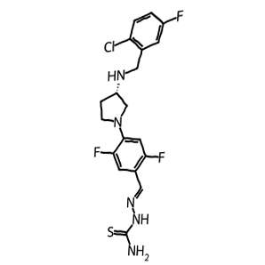 NC(=S)NN=Cc1cc(F)c(N2CC[C@H](NCc3cc(F)ccc3Cl)C2)cc1F